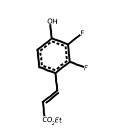 CCOC(=O)/C=C/c1ccc(O)c(F)c1F